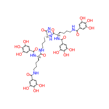 NC(=O)[C@@H](CCCCNC(=O)[C@@H](CCCCNC(=O)c1cc(O)c(O)c(O)c1)NC(=O)c1cc(O)c(O)c(O)c1)NC(=O)[C@@H](CCCCNC(=O)c1cc(O)c(O)c(O)c1)NC(=O)c1cc(O)c(O)c(O)c1